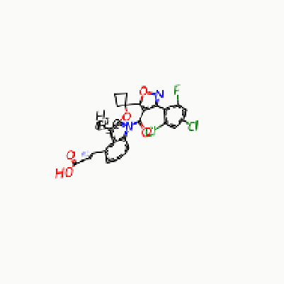 COC1(c2onc(-c3c(F)cc(Cl)cc3Cl)c2C(=O)n2cc(C)c3c(/C=C/C(=O)O)cccc32)CCC1